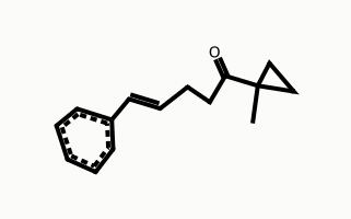 CC1(C(=O)CCC=Cc2ccccc2)CC1